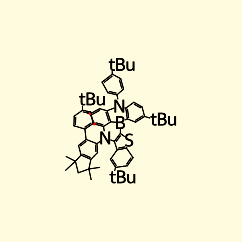 Cc1cc2c3c(c1)N(c1cc4c(cc1-c1ccc(C(C)(C)C)cc1)C(C)(C)CC4(C)C)c1c(sc4ccc(C(C)(C)C)cc14)B3c1cc(C(C)(C)C)ccc1N2c1ccc(C(C)(C)C)cc1